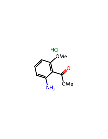 COC(=O)c1c(N)cccc1OC.Cl